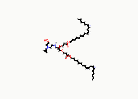 CCCCC/C=C\C/C=C\CCCCCCCCOC(=O)CCOCC(CN(C)CCN(CCO)C1CC1)OCCC(=O)OCCCCCCCC/C=C\C/C=C\CCCCC